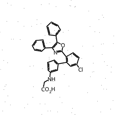 O=C(O)CNc1cccc(-c2cc(Cl)ccc2-c2nc(-c3ccccc3)c(-c3ccccc3)o2)c1